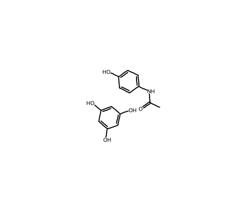 CC(=O)Nc1ccc(O)cc1.Oc1cc(O)cc(O)c1